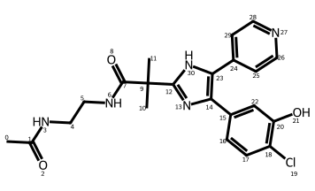 CC(=O)NCCNC(=O)C(C)(C)c1nc(-c2ccc(Cl)c(O)c2)c(-c2ccncc2)[nH]1